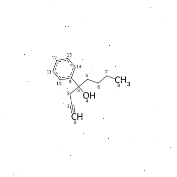 C#CCC(O)(CCCC)c1ccccc1